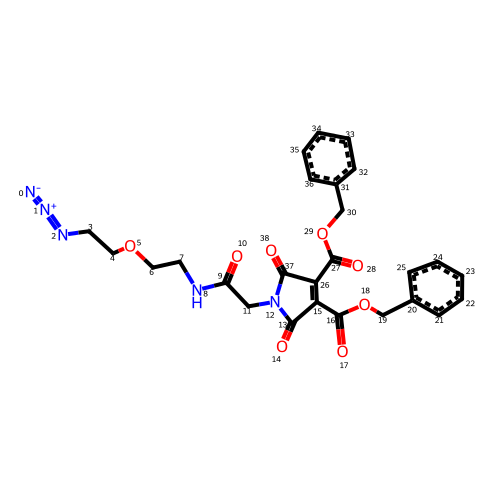 [N-]=[N+]=NCCOCCNC(=O)CN1C(=O)C(C(=O)OCc2ccccc2)=C(C(=O)OCc2ccccc2)C1=O